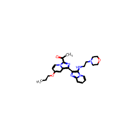 CCCOc1ccn2c(C(C)=O)nc(-c3nc4ccccn4c3NCCN3CCOCC3)c2c1